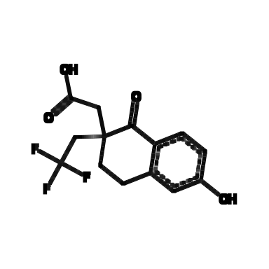 O=C(O)CC1(CC(F)(F)F)CCc2cc(O)ccc2C1=O